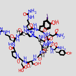 C[C@@H](O)[C@@H]1NC(=O)[C@H]2NC(=O)[C@@H](NC(=O)CN)CCCn3cc(nn3)C[C@H](NC(=O)[C@H](CCCNC(=N)N)NC(=O)C3CCCN3C(=O)[C@H](CC(=O)O)NC1=O)C(=O)N[C@@H](CCCNC(N)=O)C(=O)NC(Cc1ccc(O)c(I)c1)C(=O)N[C@@H](CCC(N)=O)C(=O)N[C@H](C(=O)N[C@@H](Cc1ccc(O)cc1)C(N)=O)CSS2